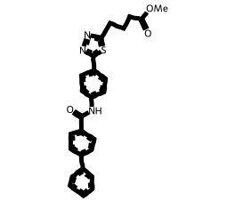 COC(=O)CCCc1nnc(-c2ccc(NC(=O)c3ccc(-c4ccccc4)cc3)cc2)s1